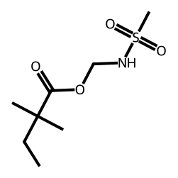 CCC(C)(C)C(=O)OCNS(C)(=O)=O